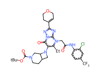 CCc1c(N2CC3CCN(C(=O)OC(C)(C)C)CC32)c(=O)n2nc(C3=CCOCC3)nc2n1CC(=O)Nc1ccc(C(F)(F)F)cc1Cl